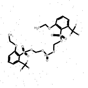 CCOc1cccc(C(F)(F)F)c1S(=O)(=O)OCO[PH](=O)OCOS(=O)(=O)c1c(OCC)cccc1C(F)(F)F